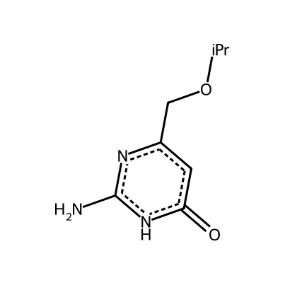 CC(C)OCc1cc(=O)[nH]c(N)n1